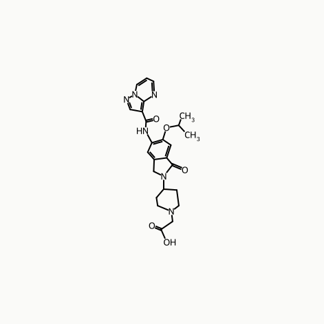 CC(C)Oc1cc2c(cc1NC(=O)c1cnn3cccnc13)CN(C1CCN(CC(=O)O)CC1)C2=O